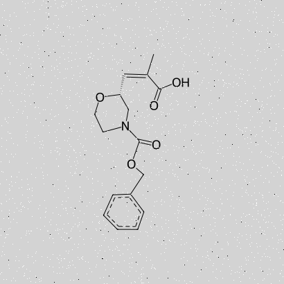 CC(=C[C@@H]1CN(C(=O)OCc2ccccc2)CCO1)C(=O)O